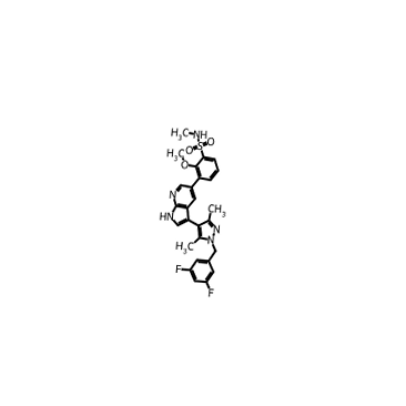 CNS(=O)(=O)c1cccc(-c2cnc3[nH]cc(-c4c(C)nn(Cc5cc(F)cc(F)c5)c4C)c3c2)c1OC